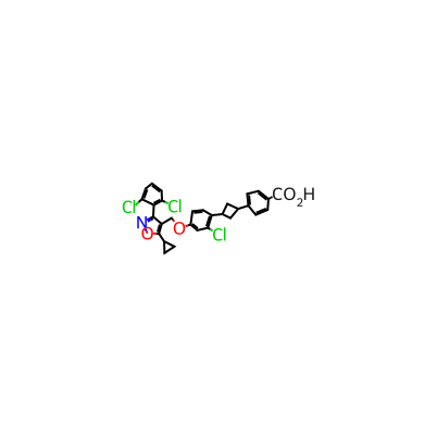 O=C(O)c1ccc(C2CC(c3ccc(OCc4c(-c5c(Cl)cccc5Cl)noc4C4CC4)cc3Cl)C2)cc1